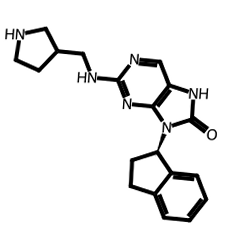 O=c1[nH]c2cnc(NCC3CCNC3)nc2n1[C@@H]1CCc2ccccc21